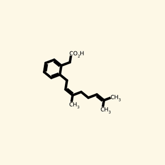 CC(C)=CCCC(C)=CCc1ccccc1CC(=O)O